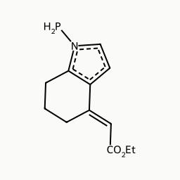 CCOC(=O)C=C1CCCc2c1ccn2P